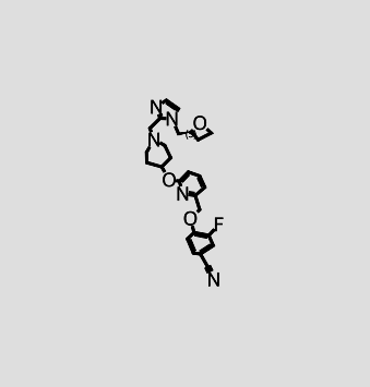 N#Cc1ccc(OCc2cccc(OC3CCN(Cc4nccn4C[C@@H]4CCO4)CC3)n2)c(F)c1